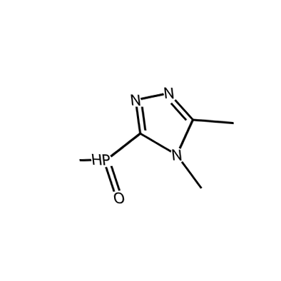 Cc1nnc([PH](C)=O)n1C